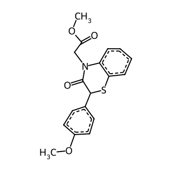 COC(=O)CN1C(=O)C(c2ccc(OC)cc2)Sc2ccccc21